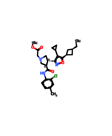 Cc1ccc(NC(=O)[C@H]2CN(CC(=O)OC(C)(C)C)C[C@@H]2c2noc([C@H]3C[C@@H](CC(C)(C)C)C3)c2C2CC2)c(Cl)c1